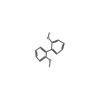 COc1c[c]ccc1-c1cc[c]cc1OC